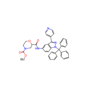 CC(C)(C)OC(=O)N1CCOC(C(=O)Nc2ccc3c(c2)c(-c2ccncc2)nn3C(c2ccccc2)(c2ccccc2)c2ccccc2)C1